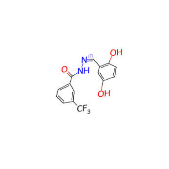 O=C(N/N=C\c1cc(O)ccc1O)c1cccc(C(F)(F)F)c1